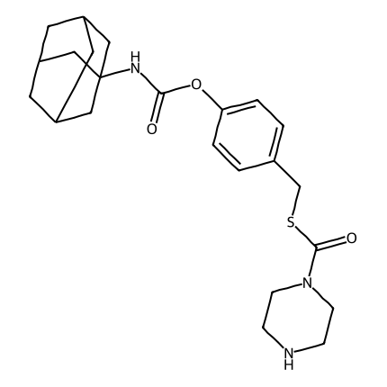 O=C(NC12CC3CC(CC(C3)C1)C2)Oc1ccc(CSC(=O)N2CCNCC2)cc1